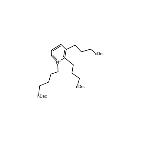 CCCCCCCCCCCCCC[n+]1cccc(CCCCCCCCCCCCC)c1CCCCCCCCCCCCC